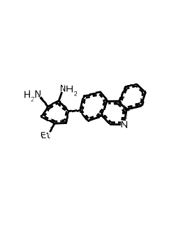 CCc1cc(N)c(N)c(-c2ccc3c(cnc4ccccc43)c2)c1